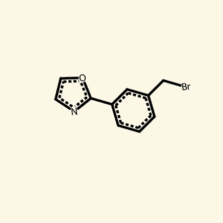 BrCc1cccc(-c2ncco2)c1